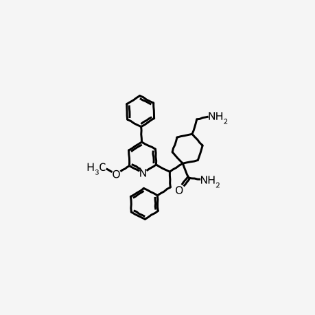 COc1cc(-c2ccccc2)cc(C(Cc2ccccc2)C2(C(N)=O)CCC(CN)CC2)n1